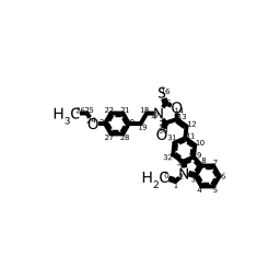 C=Cn1c2ccccc2c2cc(/C=C3/OC(=S)N(CCc4ccc(OCC)cc4)C3=O)ccc21